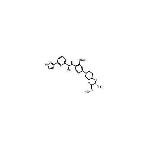 COc1cc(N2CCC(O[C@H](C)C(=O)OC(C)(C)C)CC2)ccc1NC(O)c1cccc(-c2cc[nH]n2)n1